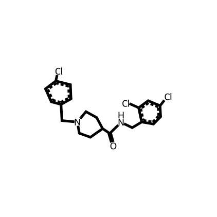 O=C(NCc1ccc(Cl)cc1Cl)C1CCN(Cc2ccc(Cl)cc2)CC1